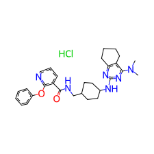 CN(C)c1nc(NC2CCC(CNC(=O)c3cccnc3Oc3ccccc3)CC2)nc2c1CCCC2.Cl